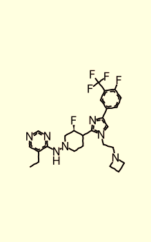 CCc1cncnc1NN1CCC(c2nc(-c3ccc(F)c(C(F)(F)F)c3)cn2CCN2CCC2)[C@H](F)C1